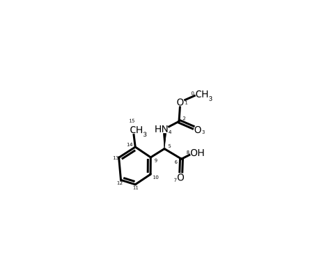 COC(=O)N[C@@H](C(=O)O)c1ccccc1C